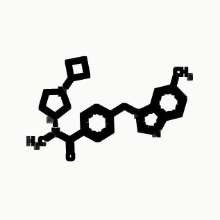 Cc1ccc2ncn(Cc3ccc(C(=O)N(C)[C@@H]4CCN(C5CCC5)C4)cc3)c2c1